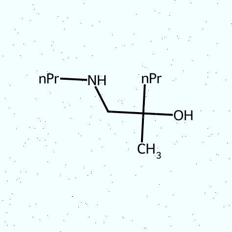 CCCNCC(C)(O)CCC